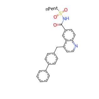 CCCCCS(=O)(=O)NC(=O)c1ccc2nccc(Cc3ccc(-c4ccccc4)cc3)c2c1